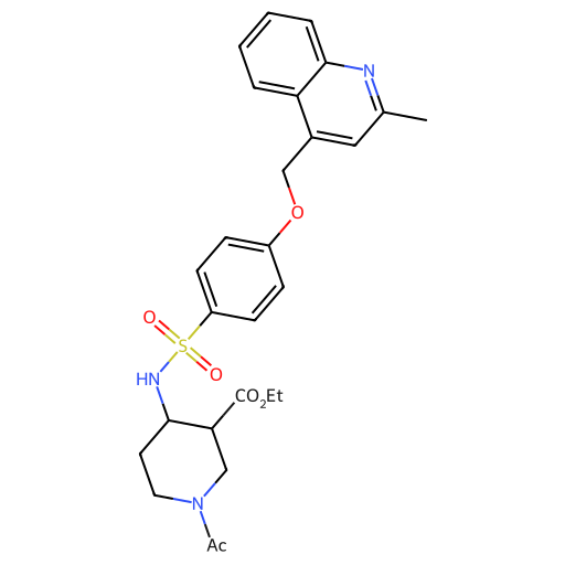 CCOC(=O)C1CN(C(C)=O)CCC1NS(=O)(=O)c1ccc(OCc2cc(C)nc3ccccc23)cc1